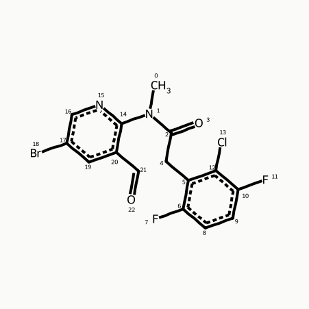 CN(C(=O)Cc1c(F)ccc(F)c1Cl)c1ncc(Br)cc1C=O